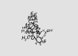 C[C@H]1Oc2ccc(F)cc2N(CCO)C(=O)[C@H]1NC(=O)[C@@](C)(O)C(=O)NCC(F)(F)C(F)(F)F